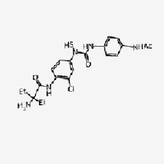 CCC(N)(CC)C(=O)Nc1ccc(N(S)C(=O)Nc2ccc(NC(C)=O)cc2)cc1Cl